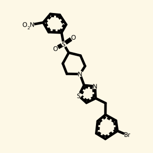 O=[N+]([O-])c1cccc(S(=O)(=O)C2CCN(c3nc(Cc4cccc(Br)c4)cs3)CC2)c1